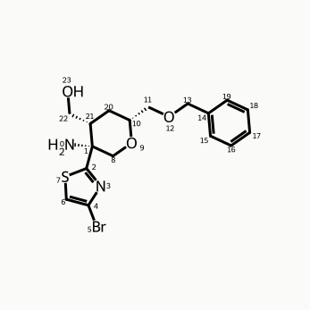 N[C@@]1(c2nc(Br)cs2)CO[C@@H](COCc2ccccc2)C[C@H]1CO